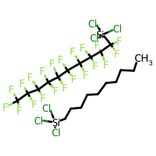 CCCCCCCCCC[Si](Cl)(Cl)Cl.FC(F)(F)C(F)(F)C(F)(F)C(F)(F)C(F)(F)C(F)(F)C(F)(F)C(F)(F)C(F)(F)C(F)(F)[Si](Cl)(Cl)Cl